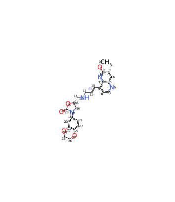 COc1ccc2nccc(/C=C/CNC[C@@H]3CN(c4ccc5c(c4)OCCO5)C(=O)O3)c2n1